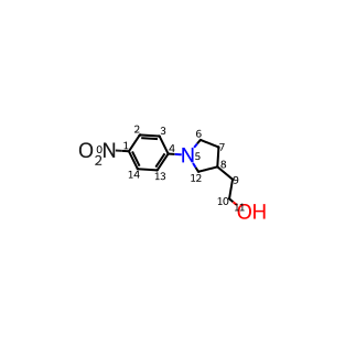 O=[N+]([O-])c1ccc(N2CCC(CCO)C2)cc1